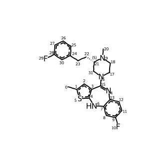 Cc1cc2c(s1)Nc1cc(F)ccc1N=C2N1CCN(C)[C@@H](CCc2cccc(F)c2)C1